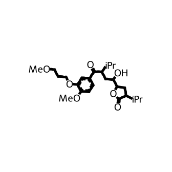 COCCCOc1cc(C(=O)C(CC(O)C2CC(C(C)C)C(=O)O2)C(C)C)ccc1OC